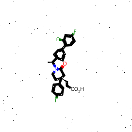 C[C@@H](c1ccc(-c2ccc(F)cc2F)cc1)N1CC[C@@](CCC(=O)O)(c2ccc(F)cc2)CC1=O